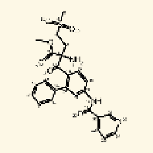 COC(=O)C(N)(CCS(C)(=O)=O)C(=O)c1ccc(NC(=O)c2cccnc2)cc1-c1ccccc1